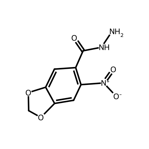 NNC(=O)c1cc2c(cc1[N+](=O)[O-])OCO2